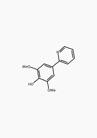 COc1cc(-c2ccccn2)cc(OC)c1O